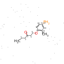 CCCC(=O)CCOc1ccc(P)cc1C